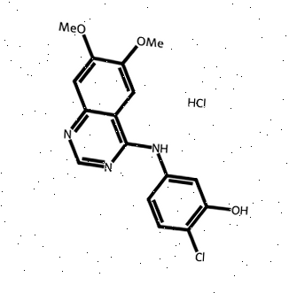 COc1cc2ncnc(Nc3ccc(Cl)c(O)c3)c2cc1OC.Cl